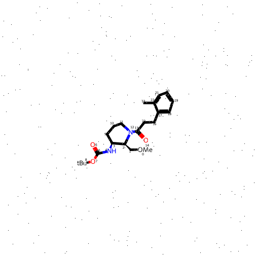 COC[C@H]1[C@@H](NC(=O)OC(C)(C)C)CCCN1C(=O)CCc1ccccc1C